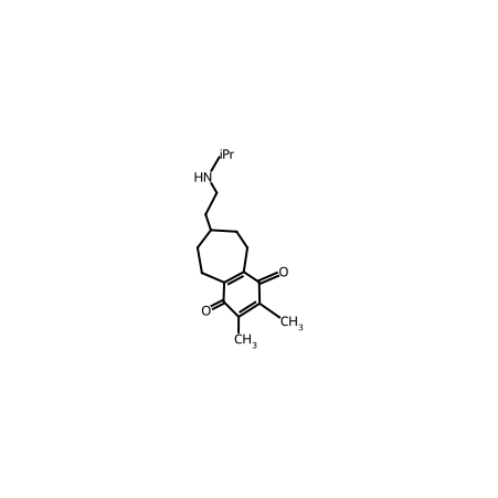 CC1=C(C)C(=O)C2=C(CCC(CCNC(C)C)CC2)C1=O